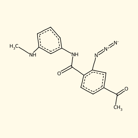 CNc1cccc(NC(=O)c2ccc(C(C)=O)cc2N=[N+]=[N-])c1